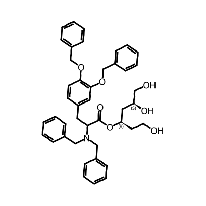 O=C(O[C@H](CCO)C[C@H](O)CO)C(Cc1ccc(OCc2ccccc2)c(OCc2ccccc2)c1)N(Cc1ccccc1)Cc1ccccc1